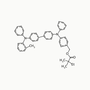 CCC(C)(C)C(=O)OCc1ccc(N(c2ccccc2)c2ccc(-c3ccc(N(c4ccccc4)c4ccccc4C)cc3)cc2)cc1